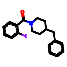 O=C(c1ccccc1I)N1CCC(Cc2ccccc2)CC1